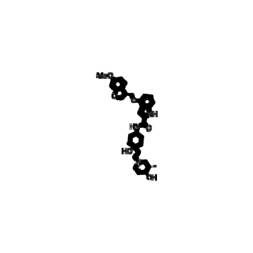 COc1ccc2c(c1)OC[C@@H]2COc1cccc2[nH]c(C(=O)NC3CCC(O)(CCN4CC[C@H](O)[C@@H](C)C4)CC3)cc12